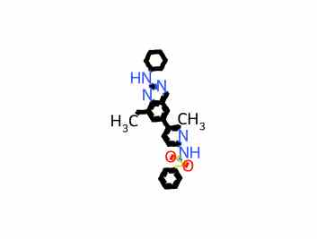 CCc1cc(-c2ccc(NS(=O)(=O)c3ccccc3)nc2C)cc2cnc(NC3CCCCC3)nc12